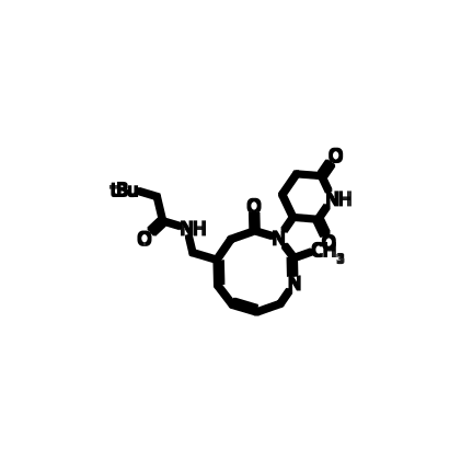 C/C1=N/C/C=C\C=C(\CNC(=O)CC(C)(C)C)CC(=O)N1C1CCC(=O)NC1=O